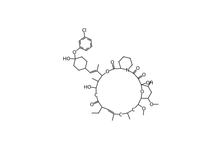 CCC1/C=C(\C)CC(C)CC(OC)C2OC(O)(C(=O)C(=O)N3CCCCC3C(=O)OC(C(C)=CC3CCC(O)(Oc4cccc(Cl)c4)CC3)C(C)C(O)CC1=O)C(C)CC2OC